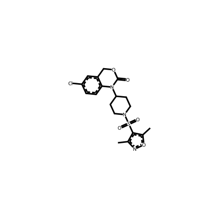 Cc1noc(C)c1S(=O)(=O)N1CCC(N2C(=O)OCc3cc(Cl)ccc32)CC1